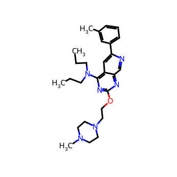 CCCN(CCC)c1nc(OCCN2CCN(C)CC2)nc2cnc(-c3cccc(C)c3)cc12